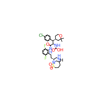 CC1(C)C[C@@H](C(c2ccc(Cl)cc2)C(NC(=O)O)C(=O)Nc2c(F)ccc(F)c2CC[C@H]2CN[C@@H]3CCCS(=O)(=O)N2C3)CCO1